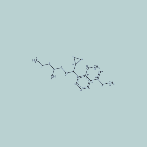 CCCC(O)COC(c1cccc(C(=O)CC)c1OC)C1CC1